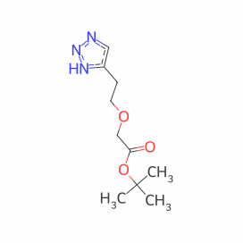 CC(C)(C)OC(=O)COCCc1cnn[nH]1